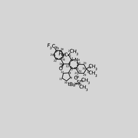 C=C(C)c1nc2c(c(C3CCCC3)c1C(=O)c1ccc(C(F)(F)F)cc1)[C@@H](O[Si](C)(C)C(C)(C)C)CC(C)(C)C2